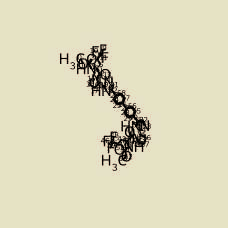 COC(=O)N[C@@H](CCC(F)(F)F)C(=O)N1CCC[C@H]1C1=NCC(c2ccc(-c3ccc(-c4cnc([C@@H]5CCCN5C(=O)[C@H](CCC(F)(F)F)NC(=O)OC)[nH]4)cc3)cc2)N1